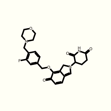 O=C1CCC(N2C=C3C=CC(=O)C(OCc4ccc(CN5CCOCC5)c(F)c4)=C3C2)C(=O)N1